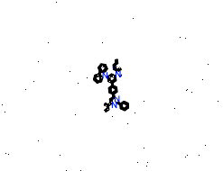 C=C/C=C\C(=C)N(C)c1cc(-c2ccc(-c3cc(C(=C)C=C)nc(-c4ccccc4)n3)cc2)cc(-n2c3ccccc3c3ccccc32)c1